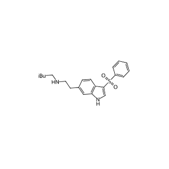 CCC(C)CNCCc1ccc2c(S(=O)(=O)c3ccccc3)c[nH]c2c1